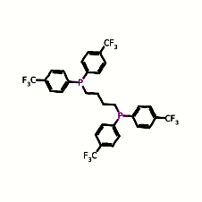 FC(F)(F)c1ccc(P(CCCCP(c2ccc(C(F)(F)F)cc2)c2ccc(C(F)(F)F)cc2)c2ccc(C(F)(F)F)cc2)cc1